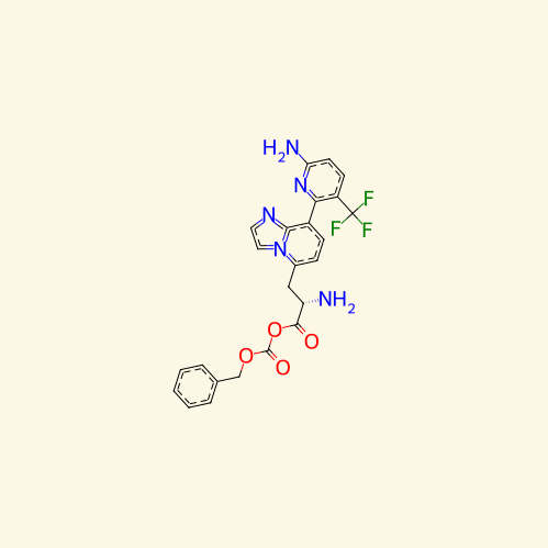 Nc1ccc(C(F)(F)F)c(-c2ccc(C[C@H](N)C(=O)OC(=O)OCc3ccccc3)n3ccnc23)n1